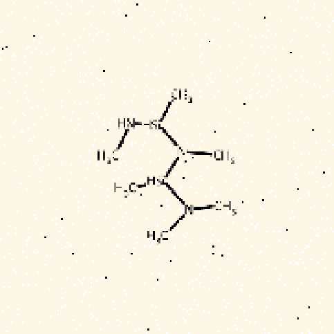 CN[SiH](C)N(C)[SiH](C)N(C)C